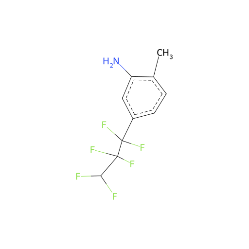 Cc1ccc(C(F)(F)C(F)(F)C(F)F)cc1N